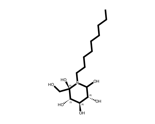 CCCCCCCCCN1C(O)[C@H](O)[C@@H](O)[C@H](O)[C@]1(O)CO